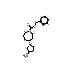 NC1CCN([C@@H]2CCCN(C(=O)OCc3ccccc3)CC2)C1